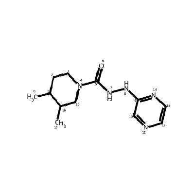 CC1CCN(C(=O)NNc2cnccn2)CC1C